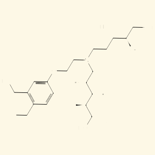 Cl.OC[C@@H](O)[C@@H](O)[C@H](O)CN(CCOc1ccc(CS)c(CS)c1)C[C@@H](O)[C@H](O)[C@H](O)CO